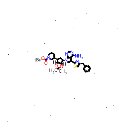 CC(C)(C)OC(=O)N1CCC=C([C@H]2C[C@@H](n3cc(-c4nc(Cc5ccccc5)cs4)c4c(N)ncnc43)[C@@H]3OC(C)(C)O[C@@H]32)C1